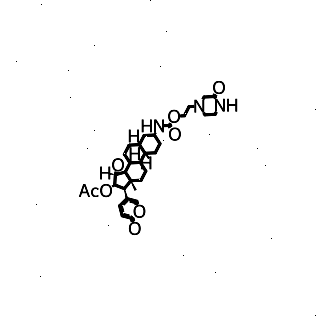 CC(=O)O[C@H]1[C@H]2O[C@]23[C@@H]2CC[C@@H]4C[C@@H](NC(=O)OCCN5CCNC(=O)C5)CC[C@]4(C)[C@H]2CC[C@]3(C)[C@H]1c1ccc(=O)oc1